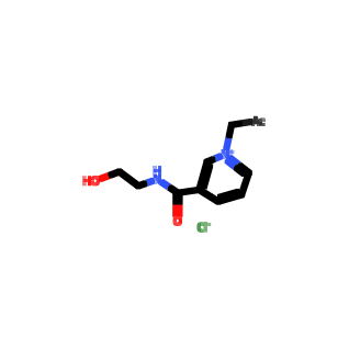 CC(=O)C[n+]1cccc(C(=O)NCCO)c1.[Cl-]